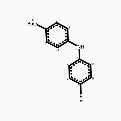 CC(C)COc1ccc(Nc2ccc(F)cc2)cc1